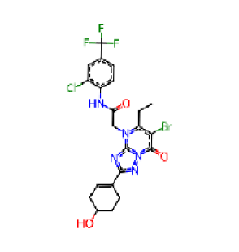 CCc1c(Br)c(=O)n2nc(C3=CCC(O)CC3)nc2n1CC(=O)Nc1ccc(C(F)(F)F)cc1Cl